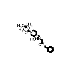 CC(C)(C)OC(=O)N1CC[C@@H](CNCC(=O)OCc2ccccc2)[C@H](O)C1